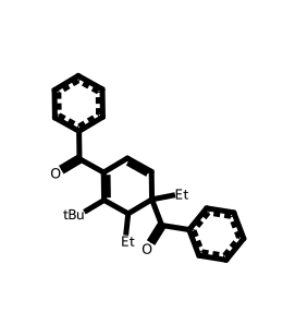 CCC1C(C(C)(C)C)=C(C(=O)c2ccccc2)C=CC1(CC)C(=O)c1ccccc1